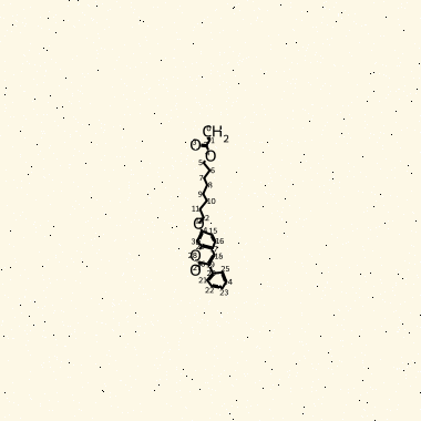 C=CC(=O)OCCCCCCCCOc1ccc2cc(-c3ccccc3)c(=O)oc2c1